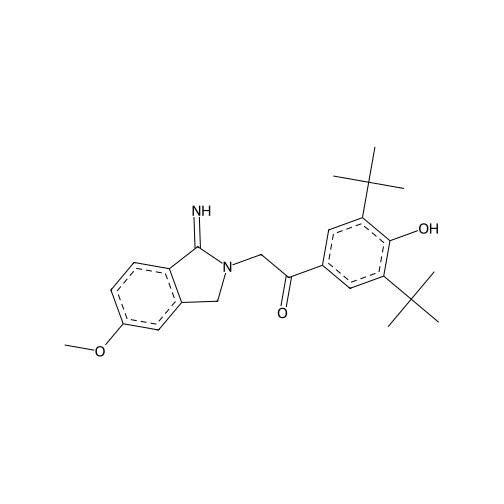 COc1ccc2c(c1)CN(CC(=O)c1cc(C(C)(C)C)c(O)c(C(C)(C)C)c1)C2=N